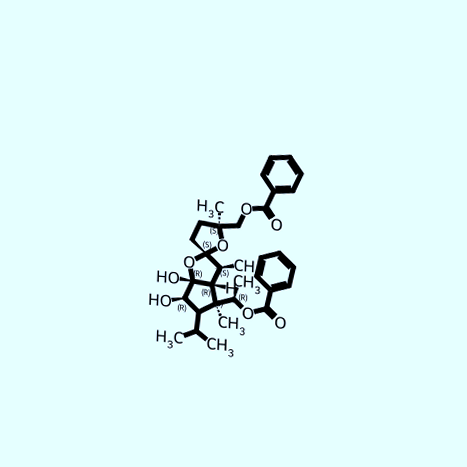 CC(C)C1[C@@H](O)[C@]2(O)O[C@@]3(CC[C@@](C)(COC(=O)c4ccccc4)O3)[C@@H](C)[C@@H]2[C@@]1(C)[C@@H](C)OC(=O)c1ccccc1